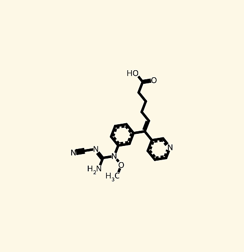 CON(C(N)=NC#N)c1cccc(/C(=C\CCCC(=O)O)c2cccnc2)c1